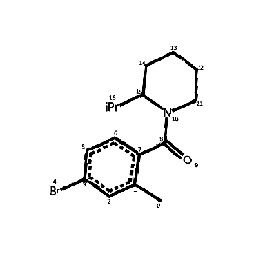 Cc1cc(Br)ccc1C(=O)N1CCCCC1C(C)C